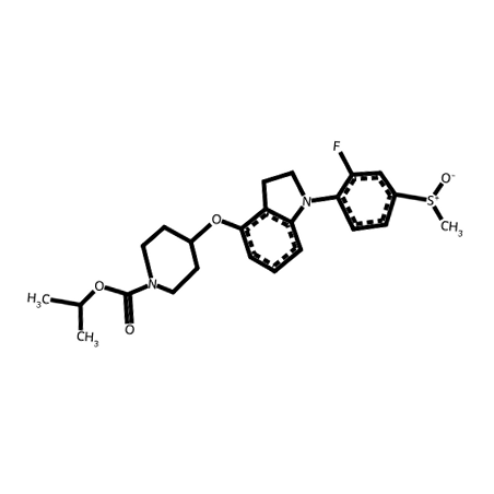 CC(C)OC(=O)N1CCC(Oc2cccc3c2CCN3c2ccc([S+](C)[O-])cc2F)CC1